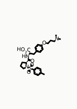 Cc1ccc(S(=O)(=O)N2CCC[C@H]2C(=O)N[C@@H](Cc2ccc(OCCCN(C)C)cc2)C(=O)O)cc1